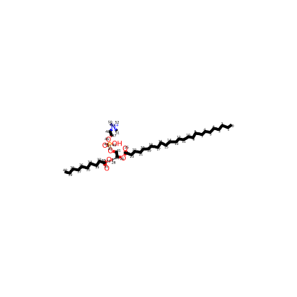 CCCCCCCCCCCCCCCCCCCCCCCCC(=O)O[C@H](COC(=O)CCCCCCCCC)COP(=O)(O)OCC[N+](C)(C)C